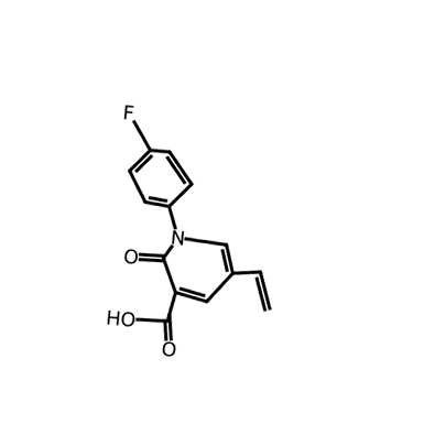 C=Cc1cc(C(=O)O)c(=O)n(-c2ccc(F)cc2)c1